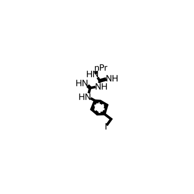 CCCNC(=N)NC(=N)Nc1ccc(CI)cc1